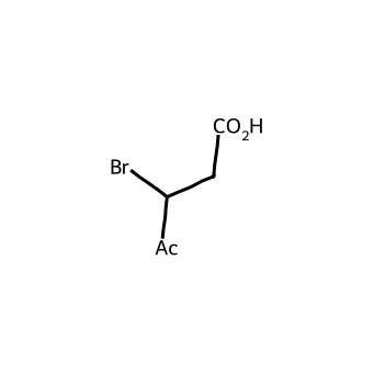 CC(=O)C(Br)CC(=O)O